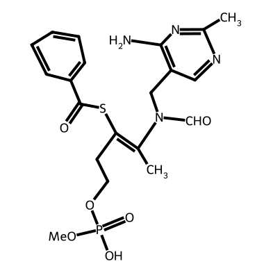 COP(=O)(O)OCC/C(SC(=O)c1ccccc1)=C(\C)N(C=O)Cc1cnc(C)nc1N